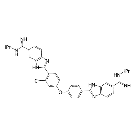 CC(C)NC(=N)c1ccc2nc(-c3ccc(Oc4ccc(-c5nc6ccc(C(=N)NC(C)C)cc6[nH]5)c(Cl)c4)cc3)[nH]c2c1